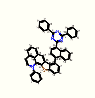 C1=CN(c2ccccc2)c2c3sc4cccc(-c5ccc(-c6nc(-c7ccccc7)nc(-c7ccccc7)n6)c6ccccc56)c4c3cc3cccc1c23